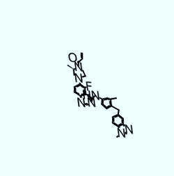 C=CC(=O)N1CCN(c2ccc3ncnc(Nc4ccc(Cc5ccc6c(c5)ncn6C)c(C)c4)c3c2F)C[C@H]1C